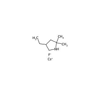 CCC1CNC(C)(C)C1.[Cs+].[F-]